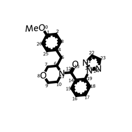 COc1ccc(CC2COCCN2C(=O)c2ccccc2-n2nccn2)cc1